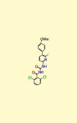 COc1ccc(-c2ccc(NC(=O)NC(=O)c3c(Cl)cccc3Cl)nc2C)cc1